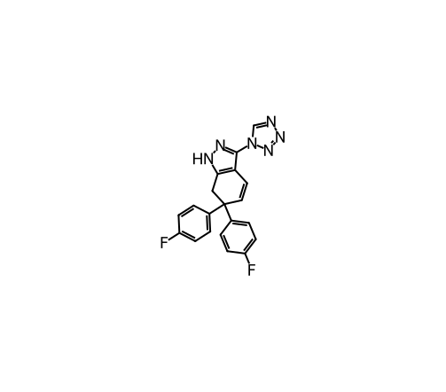 Fc1ccc(C2(c3ccc(F)cc3)C=Cc3c(-n4cnnn4)n[nH]c3C2)cc1